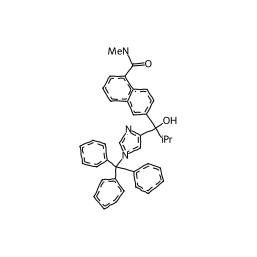 CNC(=O)c1cccc2cc(C(O)(c3cn(C(c4ccccc4)(c4ccccc4)c4ccccc4)cn3)C(C)C)ccc12